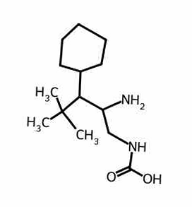 CC(C)(C)C(C(N)CNC(=O)O)C1CCCCC1